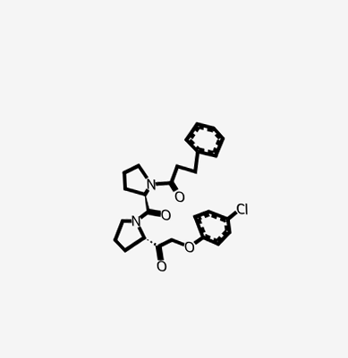 O=C(COc1ccc(Cl)cc1)[C@@H]1CCCN1C(=O)[C@H]1CCCN1C(=O)CCc1ccccc1